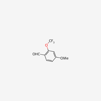 COc1ccc(C=O)c(OC(F)(F)F)c1